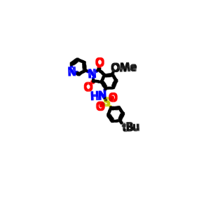 COc1ccc(NS(=O)(=O)c2ccc(C(C)(C)C)cc2)c2c1C(=O)N(c1cccnc1)C2=O